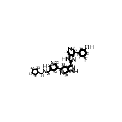 Oc1cc(F)cc(-c2cncc3[nH]c(-c4n[nH]c5cnc(-c6cncc(CNCC7CCCC7)c6)cc45)nc23)c1